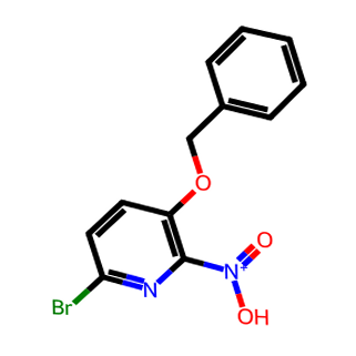 O=[N+](O)c1nc(Br)ccc1OCc1ccccc1